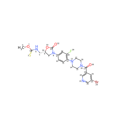 COC(=S)NC[C@H]1CN(c2ccc(N3CCN(C(=O)c4cncc(Br)c4)CC3)c(F)c2)C(=O)O1